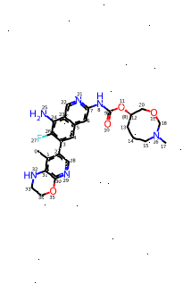 Cc1c(-c2cc3cc(NC(=O)O[C@@H]4CCCN(C)COC4)ncc3c(N)c2F)cnc2c1NCCO2